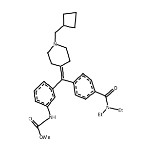 CCN(CC)C(=O)c1ccc(C(=C2CCN(CC3CCC3)CC2)c2cccc(NC(=O)OC)c2)cc1